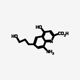 Nc1cc(CCCO)cc2c(O)cc(C(=O)O)nc12